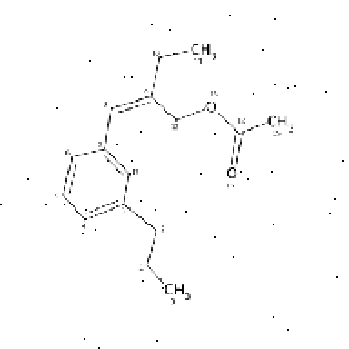 CCCc1cccc(C=C(CC)COC(C)=O)c1